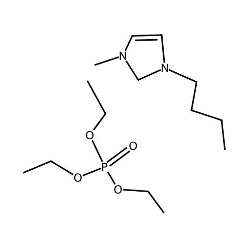 CCCCN1C=CN(C)C1.CCOP(=O)(OCC)OCC